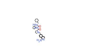 Nc1nccc2cc(CN3CCC[C@H]3C(=O)NC(=O)[C@@H](CC3CCCCC3)NC3CCCC3)ccc12